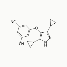 N#Cc1cc(C#N)cc(Oc2c(C3CC3)n[nH]c2C2CC2)c1